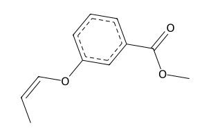 C/C=C\Oc1cccc(C(=O)OC)c1